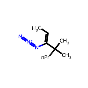 CC=C(N=[N+]=[N-])C(C)(C)CCC